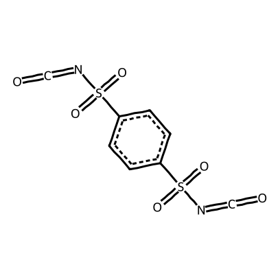 O=C=NS(=O)(=O)c1ccc(S(=O)(=O)N=C=O)cc1